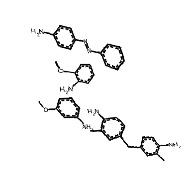 COc1cccc(N)c1.COc1ccccc1N.Cc1cc(Cc2ccc(N)c(C)c2)ccc1N.Nc1ccc(N=Nc2ccccc2)cc1